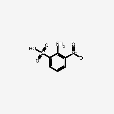 Nc1c([N+](=O)[O-])cccc1S(=O)(=O)O